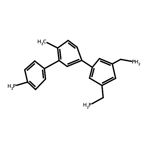 Cc1ccc(-c2cc(CP)cc(CP)c2)cc1-c1ccc(P)cc1